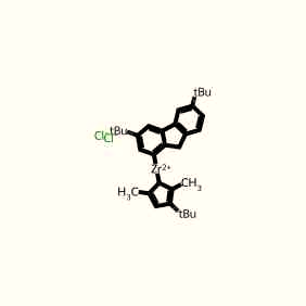 CC1=CC(C(C)(C)C)=C(C)[CH]1[Zr+2][c]1cc(C(C)(C)C)cc2c1Cc1ccc(C(C)(C)C)cc1-2.[Cl-].[Cl-]